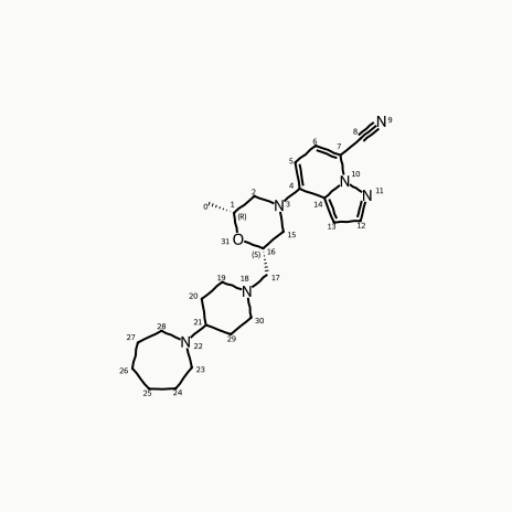 C[C@@H]1CN(c2ccc(C#N)n3nccc23)C[C@H](CN2CCC(N3CCCCCC3)CC2)O1